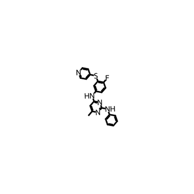 Cc1cc(Nc2ccc(F)c(Sc3ccncc3)c2)nc(Nc2ccccc2)n1